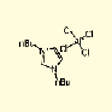 CCCCn1cc[n+](CCCC)c1.[Cl][Al-]([Cl])([Cl])[Cl]